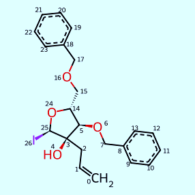 C=CC[C@@]1(O)[C@H](OCc2ccccc2)[C@@H](COCc2ccccc2)O[C@@H]1I